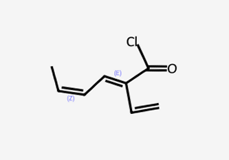 C=C/C(=C\C=C/C)C(=O)Cl